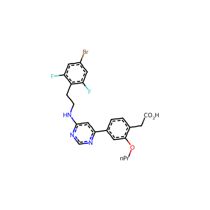 CCCOc1cc(-c2cc(NCCc3c(F)cc(Br)cc3F)ncn2)ccc1CC(=O)O